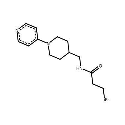 CC(C)CCC(=O)NCC1CCN(c2ccncc2)CC1